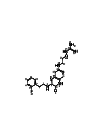 Cc1[nH]c(=O)c(NCCc2ccccc2F)nc1CC(=O)NCCONC(=N)N